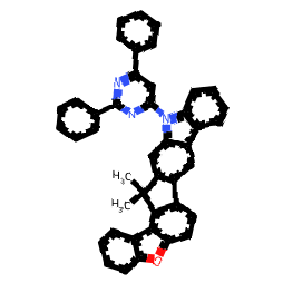 CC1(C)c2cc3c(cc2-c2ccc4oc5ccccc5c4c21)c1ccccc1n3-c1cc(-c2ccccc2)nc(-c2ccccc2)n1